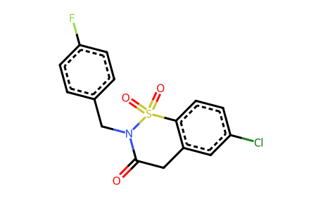 O=C1Cc2cc(Cl)ccc2S(=O)(=O)N1Cc1ccc(F)cc1